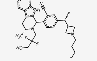 C[C@@H]1Cc2c([nH]c3ccccc23)C(c2ccc([C@@H](F)C3CN(CCCF)C3)cc2C#N)N1CC(F)(F)CO